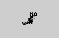 Cc1cc2nc(NC(=O)NC3CCCCC3)cnc2n1COCC[Si](C)(C)C